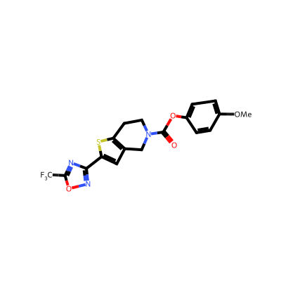 COc1ccc(OC(=O)N2CCc3sc(-c4noc(C(F)(F)F)n4)cc3C2)cc1